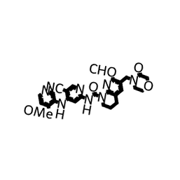 COc1ccncc1Nc1cc(NC(=O)N2CCCc3cc(CN4CCOCC4=O)c(C=O)nc32)ncc1C#N